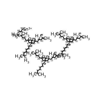 CC(C)CCCCCSC(CCCCCC(C)C)(CCCCCC(C)C)C(=O)[O-].CC(C)CCCCCSC(CCCCCC(C)C)(CCCCCC(C)C)C(=O)[O-].CC(C)CCCCCSC(CCCCCC(C)C)(CCCCCC(C)C)C(=O)[O-].CCC[CH2][Sn+3]